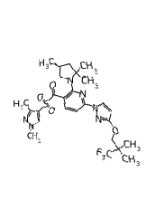 Cc1nn(C)cc1S(=O)(=O)C(=O)c1ccc(-n2ccc(OCC(C)(C)C(F)(F)F)n2)nc1N1C[C@@H](C)CC1(C)C